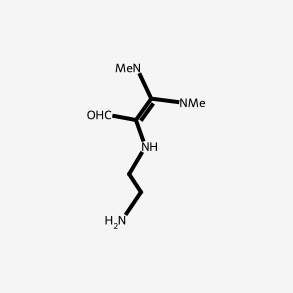 CNC(NC)=C(C=O)NCCN